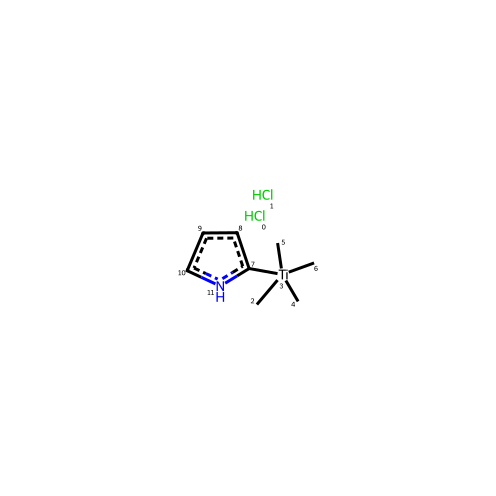 Cl.Cl.[CH3][Ti]([CH3])([CH3])([CH3])[c]1ccc[nH]1